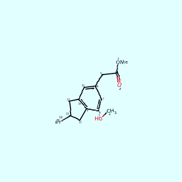 CO.COC(=O)Cc1ccc2c(c1)CC(C(C)C)C2